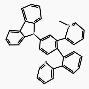 C[n+]1ccccc1-c1cc(-n2c3ccccc3c3ccccc32)ccc1-c1ccccc1-c1ccccn1